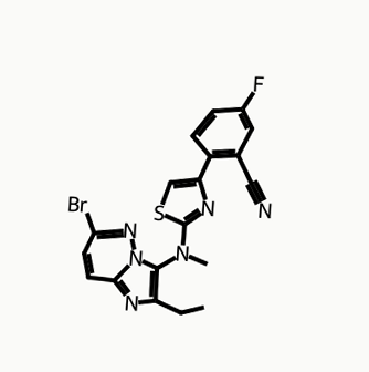 CCc1nc2ccc(Br)nn2c1N(C)c1nc(-c2ccc(F)cc2C#N)cs1